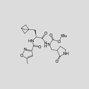 Cc1cc(C(=O)N[C@@H](CC23CC(C2)C3)C(=O)NN(CC2CCNC2=O)C(=O)OC(C)(C)C)no1